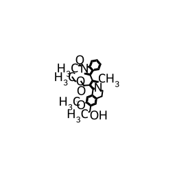 CCOC(=O)c1c(-c2cn(C(C)=O)c3ccccc23)c(C)n2c1-c1cc(OC)c(C(C)O)cc1CC2